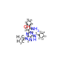 CC(C)n1cnc2c(NCc3ccccc3)nc(C(CO)C(N)c3ccccc3)nc21